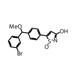 COC(c1ccc(-c2cc(O)n[s+]2[O-])cc1)c1cccc(Br)c1